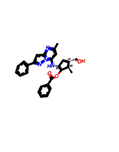 Cc1cc(N[C@@H]2C[C@H](CO)[C@@H](C)C2OC(=O)c2ccccc2)n2nc(-c3ccccc3)cc2n1